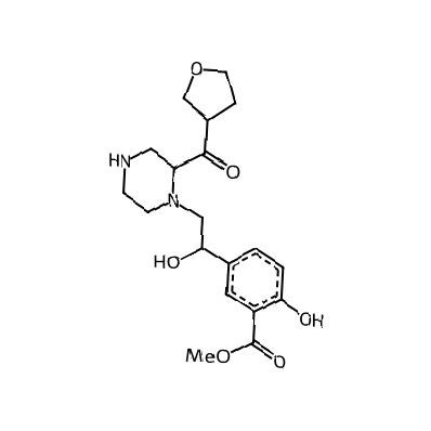 COC(=O)c1cc(C(O)CN2CCNCC2C(=O)C2CCOC2)ccc1O